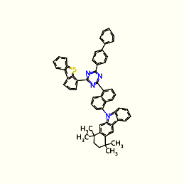 CC1(C)CCC(C)(C)c2cc3c(cc21)c1ccccc1n3-c1cccc2c(-c3nc(-c4ccc(-c5ccccc5)cc4)nc(-c4cccc5c4sc4ccccc45)n3)cccc12